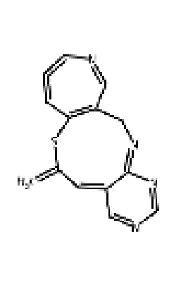 C=C1/C=c2/cncn/c2=N/CC2=C(C=C=CN=C2)S1